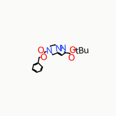 CC(C)(C)OC(=O)c1cc2n(n1)CCN(C(=O)OCc1ccccc1)C2